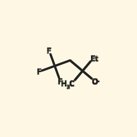 CCC(C)([O])CC(F)(F)F